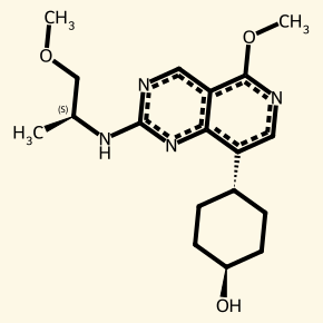 COC[C@H](C)Nc1ncc2c(OC)ncc([C@H]3CC[C@H](O)CC3)c2n1